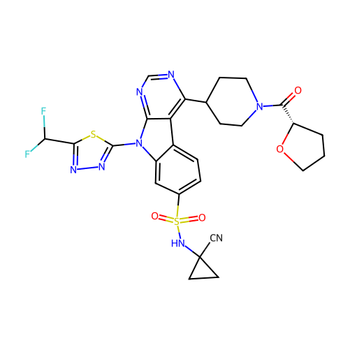 N#CC1(NS(=O)(=O)c2ccc3c4c(C5CCN(C(=O)[C@@H]6CCCO6)CC5)ncnc4n(-c4nnc(C(F)F)s4)c3c2)CC1